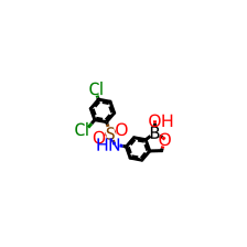 O=S(=O)(Nc1ccc2c(c1)B(O)OC2)c1ccc(Cl)cc1Cl